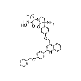 CC(C(=O)NO)N1CCC(N)(c2ccc(OCc3cc(-c4ccc(OCc5ccccc5)cc4)nc4ccccc34)cc2)C1=O